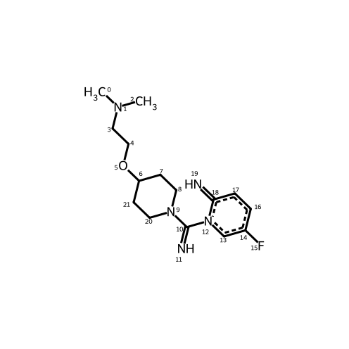 CN(C)CCOC1CCN(C(=N)n2cc(F)ccc2=N)CC1